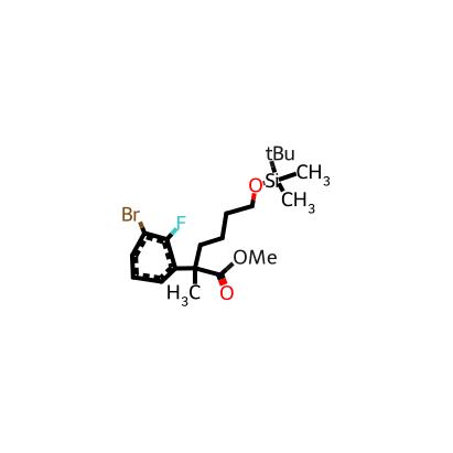 COC(=O)C(C)(CCCCO[Si](C)(C)C(C)(C)C)c1cccc(Br)c1F